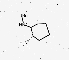 CC(C)(C)NC1CCCC[C@@H]1N